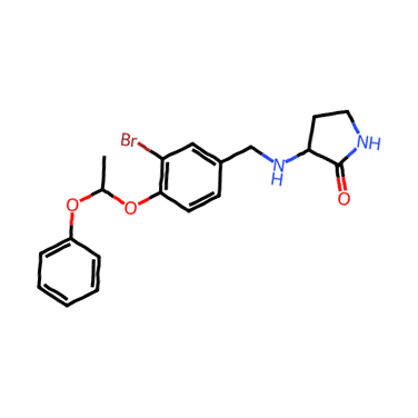 CC(Oc1ccccc1)Oc1ccc(CNC2CCNC2=O)cc1Br